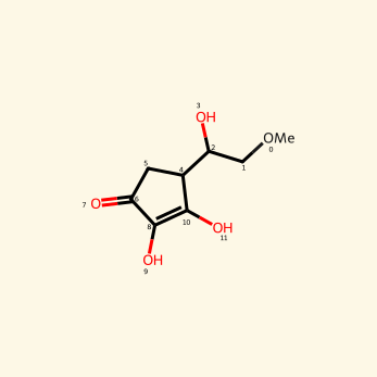 COCC(O)C1CC(=O)C(O)=C1O